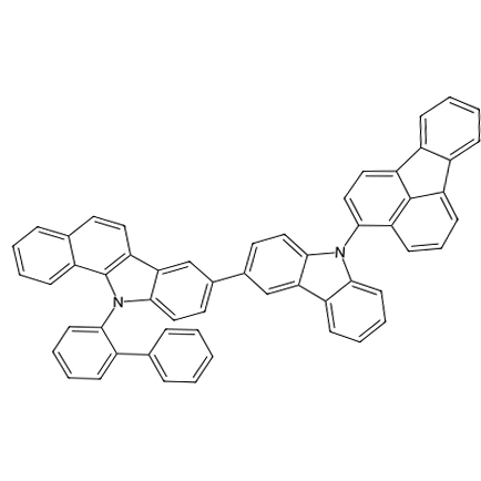 c1ccc(-c2ccccc2-n2c3ccc(-c4ccc5c(c4)c4ccccc4n5-c4ccc5c6c(cccc46)-c4ccccc4-5)cc3c3ccc4ccccc4c32)cc1